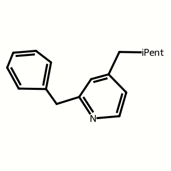 CCCC(C)Cc1ccnc(Cc2ccccc2)c1